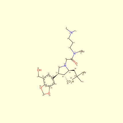 CCCCN(CCCN(C)C)C(=O)CN1C[C@H](c2cc(CO)c3c(c2)OCO3)[C@@H](C(=O)O)[C@@H]1CC(C)(C)CCC